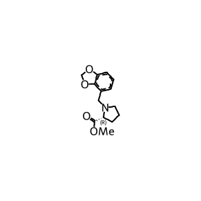 COC(=O)[C@H]1CCCN1Cc1cccc2c1OCO2